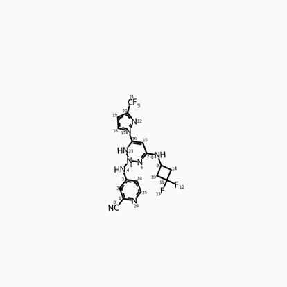 N#Cc1cc(NN2N=C(NC3CC(F)(F)C3)C=C(n3ccc(C(F)(F)F)n3)N2)ccn1